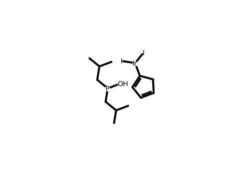 CC(C)CP(O)CC(C)C.[I][Ir]([I])[C]1=CC=CC1